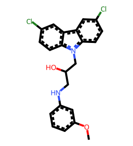 COc1cccc(NCC(O)Cn2c3ccc(Cl)cc3c3cc(Cl)ccc32)c1